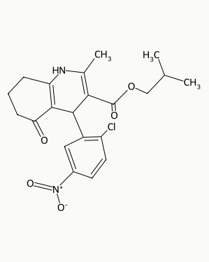 CC1=C(C(=O)OCC(C)C)C(c2cc([N+](=O)[O-])ccc2Cl)C2=C(CCCC2=O)N1